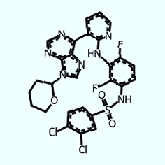 O=S(=O)(Nc1ccc(F)c(Nc2ncccc2-c2ncnc3c2ncn3C2CCCCO2)c1F)c1ccc(Cl)c(Cl)c1